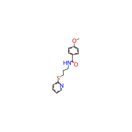 COc1ccc(C(=O)NCCCSc2ccccn2)cc1